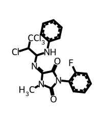 CN1C(=O)N(c2ccccc2F)C(=O)/C1=N\C(Nc1ccccc1)C(Cl)C(Cl)(Cl)Cl